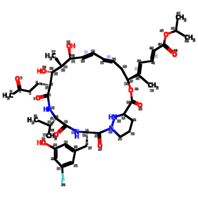 CC(=O)CC[C@H]1C(=O)N[C@@H](C(C)C)C(=O)N[C@@H](Cc2cc(O)cc(F)c2)C(=O)N2CCCC(N2)C(=O)O[C@H](/C(C)=C/C=C/C(=O)OC(C)C)C/C=C/C=C/[C@H](O)[C@H](C)[C@H]1O